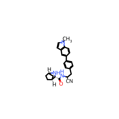 Cn1ccc2cc(-c3ccc(C[C@@H](C#N)NC(=O)[C@H]4N[C@@H]5CC[C@H]4C5)cc3)ccc21